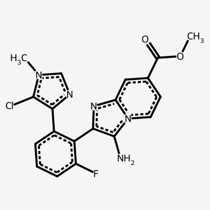 COC(=O)c1ccn2c(N)c(-c3c(F)cccc3-c3ncn(C)c3Cl)nc2c1